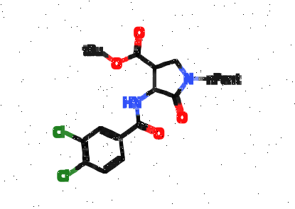 CCCCCN1CC(C(=O)OC(C)(C)C)C(NC(=O)c2ccc(Cl)c(Cl)c2)C1=O